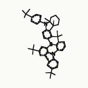 CC(C)(C)c1ccc(N2c3ccc4c(c3C3(C)CCCCC23C)C(C)(C)c2cccc3c2B4c2cc(C(C)(C)C)cc4c5cc(C(C)(C)C)ccc5n-3c24)cc1